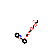 C=CC(=O)OCCOCCOCCOc1ccccc1-c1nc2ccccc2s1